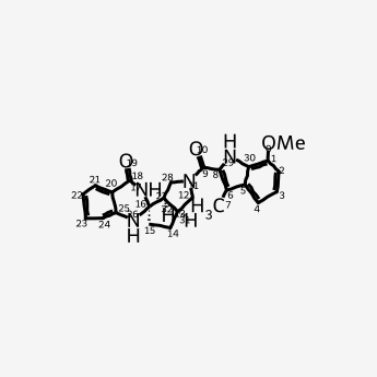 COc1cccc2c(C)c(C(=O)N3C[C@H]4CC[C@]5(NC(=O)c6ccccc6N5)[C@H]4C3)[nH]c12